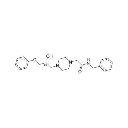 O=C(CN1CCN(C[C@@H](O)COc2ccccc2)CC1)NCc1ccccc1